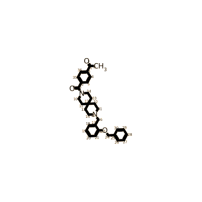 CC(=O)c1ccc(C(=O)N2CCC3(CCN(Cc4ccccc4OCc4ccccc4)CC3)CC2)cc1